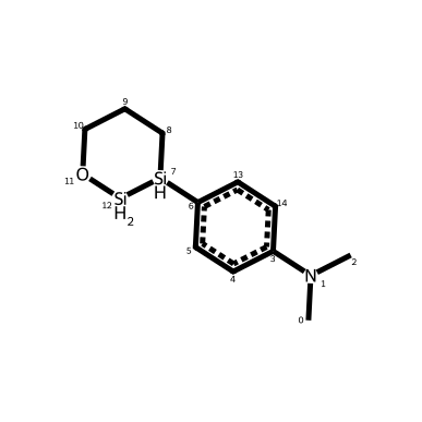 CN(C)c1ccc([SiH]2CCCO[SiH2]2)cc1